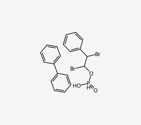 O=[PH](O)OC(Br)C(Br)c1ccccc1.c1ccc(-c2ccccc2)cc1